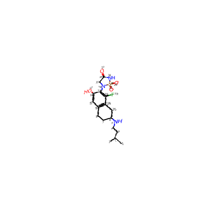 CC(C)CCNC1CCc2cc(O)c(N3CC(=O)NS3(=O)=O)c(F)c2C1